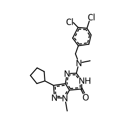 CN(Cc1ccc(Cl)c(Cl)c1)c1nc2c(C3CCCC3)nn(C)c2c(=O)[nH]1